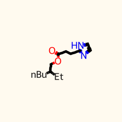 CCCCC(CC)COC(=O)CCc1ncc[nH]1